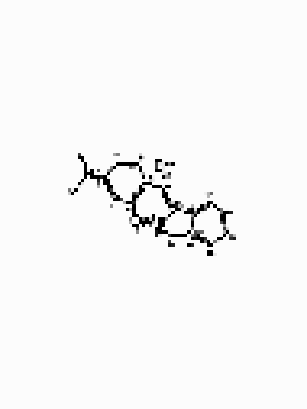 COc1cc(N(C)C)ccc1C=C1CC[n+]2ccccc21.[Br-]